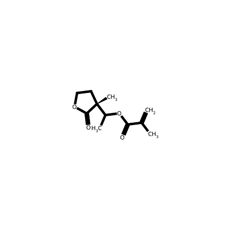 C=C(C)C(=O)OC(C)[C@@]1(C)CCOC1=O